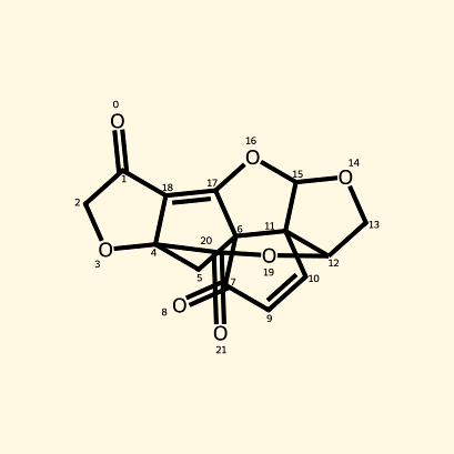 O=C1COC23CC45C(=O)C=CC46C(COC6OC5=C12)OC3=O